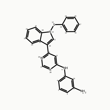 Nc1cccc(Nc2cc(-c3cn(Sc4ccccc4)c4ccccc34)ncn2)c1